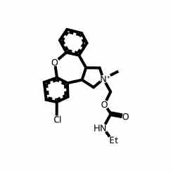 CCNC(=O)OC[N+]1(C)CC2c3ccccc3Oc3ccc(Cl)cc3C2C1